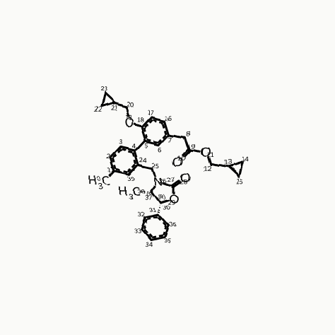 Cc1ccc(-c2cc(CC(=O)OCC3CC3)ccc2OCC2CC2)c(CN2C(=O)O[C@H](c3ccccc3)[C@@H]2C)c1